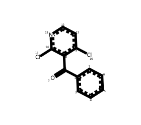 O=C(c1ccccc1)c1c(Cl)ccnc1Cl